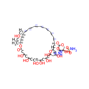 C[C@@H]1[C@H](O)[C@@H](C)/C=C/C=C/C=C/C=C/C=C/C=C/C=C/[C@H](O[C@H]2C[C@@H](N)[C@H](O)CO2)C[C@@H]2O[C@](O)(C[C@@H](O)C[C@@H](O)[C@H](O)CC[C@@H](O)C[C@@H](O)CC(=O)O[C@H]1C)C[C@H](O)[C@H]2C(=O)NCCS(N)(=O)=O